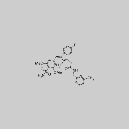 COc1cc(C=C2C(C)=C(CC(=O)NCc3cccc(C)n3)c3cc(F)ccc32)cc(OC)c1S(N)(=O)=O